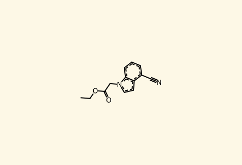 CCOC(=O)Cn1ccc2c(C#N)cccc21